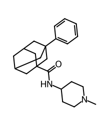 CN1CCC(NC(=O)C23CC4CC(C2)CC(c2ccccc2)(C4)C3)CC1